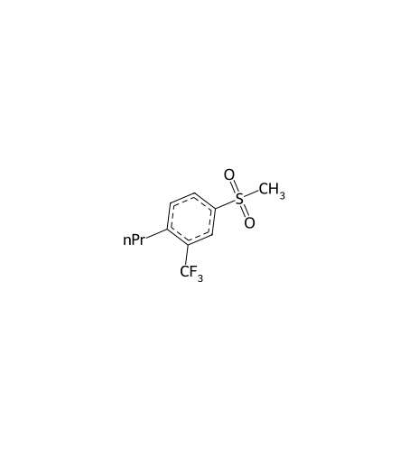 CCCc1ccc(S(C)(=O)=O)cc1C(F)(F)F